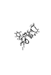 CCCn1c(=O)c2c(nn3cc(-c4ccccc4)[nH]c23)n(Cc2ccccc2)c1=O